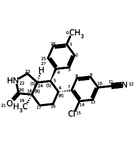 Cc1ccc([C@H]2[C@H](c3ccc(C#N)cc3Cl)CC[C@@]3(C)C(=O)NC[C@@H]23)cc1